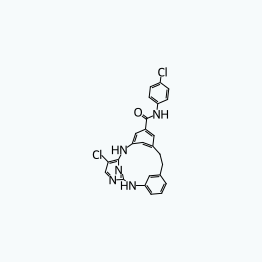 O=C(Nc1ccc(Cl)cc1)c1cc2cc(c1)Nc1nc(ncc1Cl)Nc1cccc(c1)CC2